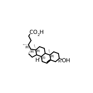 C[C@H](CCC(=O)O)[C@H]1CCC2[C@@H]3CC=C4C[C@H](O)CC[C@]4(C)C3CC[C@@]21C